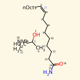 CC(O)C(=O)O.CCCCCCCC/C=C\CCCCCCCC(N)=O.CNC